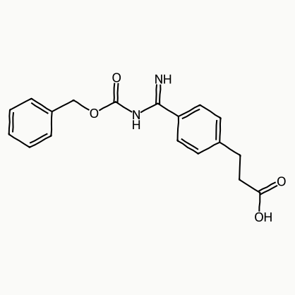 N=C(NC(=O)OCc1ccccc1)c1ccc(CCC(=O)O)cc1